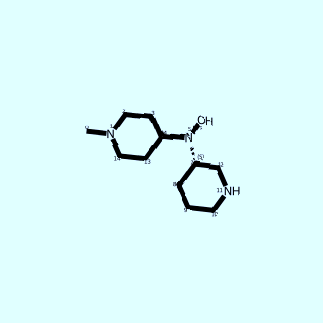 CN1CCC(N(O)[C@H]2CCCNC2)CC1